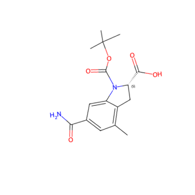 Cc1cc(C(N)=O)cc2c1C[C@@H](C(=O)O)N2C(=O)OC(C)(C)C